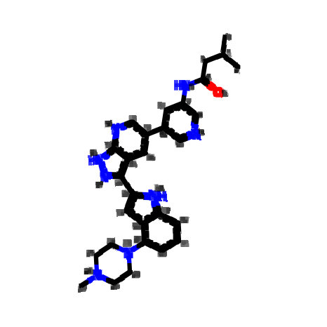 CC(C)CC(=O)Nc1cncc(-c2cnc3[nH]nc(-c4cc5c(N6CCN(C)CC6)cccc5[nH]4)c3c2)c1